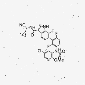 COc1ncc(Cl)cc1N(c1ccc(F)c(-c2ccc3c(C(=O)NC(C#N)C4CC4)n[nH]c3c2F)c1F)[SH](=O)=O